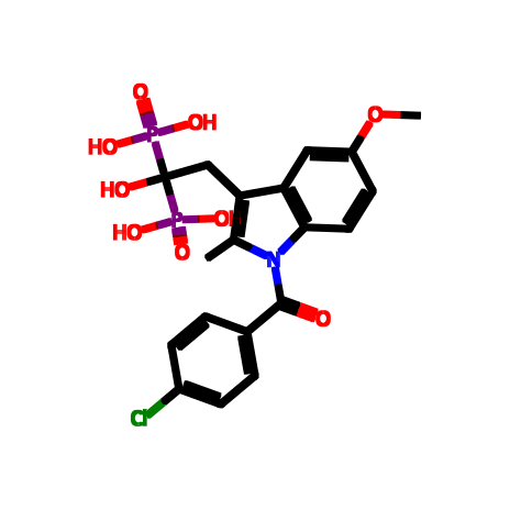 COc1ccc2c(c1)c(CC(O)(P(=O)(O)O)P(=O)(O)O)c(C)n2C(=O)c1ccc(Cl)cc1